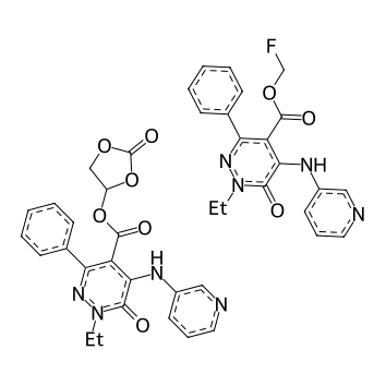 CCn1nc(-c2ccccc2)c(C(=O)OC2COC(=O)O2)c(Nc2cccnc2)c1=O.CCn1nc(-c2ccccc2)c(C(=O)OCF)c(Nc2cccnc2)c1=O